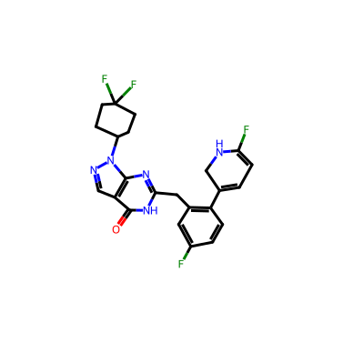 O=c1[nH]c(Cc2cc(F)ccc2C2=CC=C(F)NC2)nc2c1cnn2C1CCC(F)(F)CC1